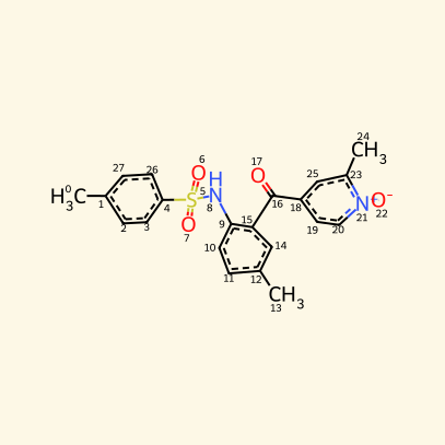 Cc1ccc(S(=O)(=O)Nc2ccc(C)cc2C(=O)c2cc[n+]([O-])c(C)c2)cc1